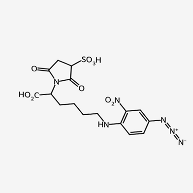 [N-]=[N+]=Nc1ccc(NCCCCC(C(=O)O)N2C(=O)CC(S(=O)(=O)O)C2=O)c([N+](=O)[O-])c1